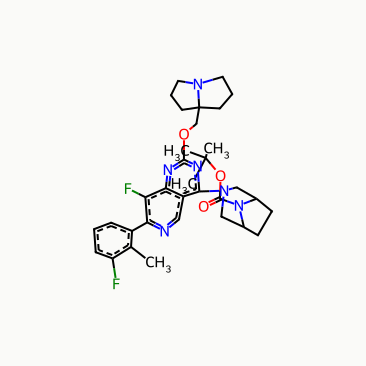 Cc1c(F)cccc1-c1ncc2c(N3CC4CCC(C3)N4C(=O)OC(C)(C)C)nc(OCC34CCCN3CCC4)nc2c1F